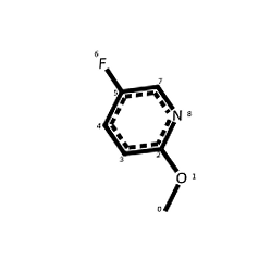 COc1ccc(F)cn1